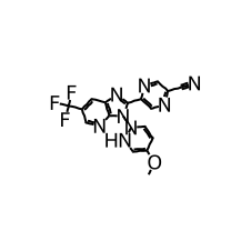 COC1=CNN(n2c(-c3cnc(C#N)cn3)nc3cc(C(F)(F)F)cnc32)C=C1